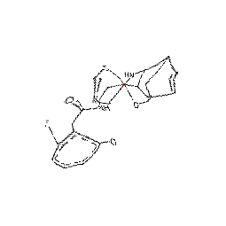 O=C(NCC1NC2C3C=CC(C3)(O1)C2C1CN=CS1)c1c(F)cccc1Cl